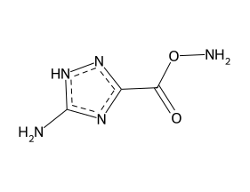 NOC(=O)c1n[nH]c(N)n1